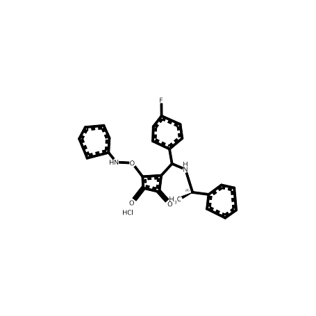 C[C@@H](NC(c1ccc(F)cc1)c1c(ONc2ccccc2)c(=O)c1=O)c1ccccc1.Cl